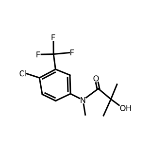 CN(C(=O)C(C)(C)O)c1ccc(Cl)c(C(F)(F)F)c1